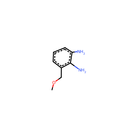 COCc1cccc(N)c1N